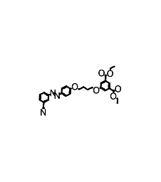 CCOC(=O)c1cc(OCCCCOc2ccc(N=Nc3cccc(C#N)c3)cc2)cc(C(=O)OCC)c1